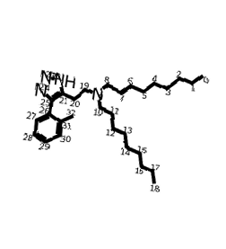 CCCCCCCCCN(CCCCCCCCC)CCc1[nH]nnc1-c1ccccc1C